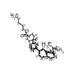 CCCCCOC(=O)N1CCC(F)(c2nc(-c3ccc4cnn(C(C)C)c4c3)no2)CC1